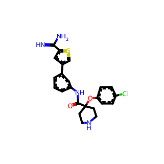 N=C(N)c1cc(-c2cccc(NC(=O)C3(Oc4ccc(Cl)cc4)CCNCC3)c2)cs1